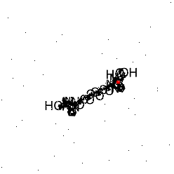 CCOCc1nc2c(NC(=O)COCC(=O)OCOC(=O)COCC(=O)Nc3nc4ccccc4c4c3nc(CC)n4CC(C)(C)O)nc3ccccc3c2n1CC(C)(C)O